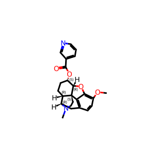 COc1ccc2c3c1O[C@H]1[C@@H](OC(=O)c4cccnc4)CC[C@H]4[C@@H](C2)N(C)CC[C@@]341